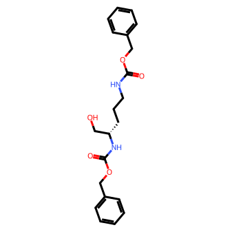 O=C(NCCC[C@@H](CO)NC(=O)OCc1ccccc1)OCc1ccccc1